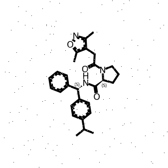 Cc1noc(C)c1CC(=O)N1CCC[C@H]1C(=O)N[C@@H](c1ccccc1)c1ccc(C(C)C)cc1